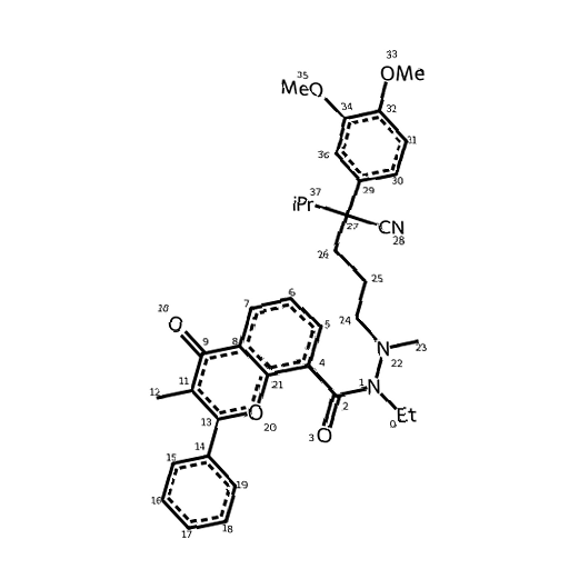 CCN(C(=O)c1cccc2c(=O)c(C)c(-c3ccccc3)oc12)N(C)CCCC(C#N)(c1ccc(OC)c(OC)c1)C(C)C